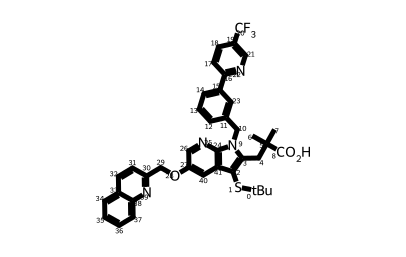 CC(C)(C)Sc1c(CC(C)(C)C(=O)O)n(Cc2cccc(-c3ccc(C(F)(F)F)cn3)c2)c2ncc(OCc3ccc4ccccc4n3)cc12